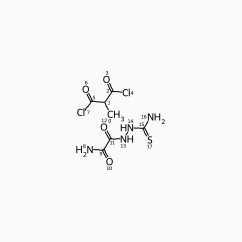 CC(C(=O)Cl)C(=O)Cl.NC(=O)C(=O)NNC(N)=S